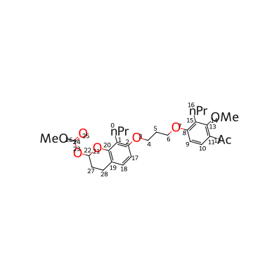 CCCc1c(OCCCOc2ccc(C(C)=O)c(OC)c2CCC)ccc2c1OC(OC(=O)OC)CC2